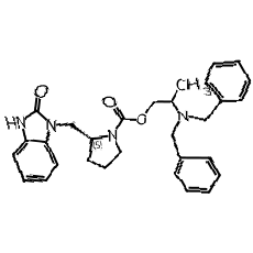 CC(COC(=O)N1CCC[C@H]1Cn1c(=O)[nH]c2ccccc21)N(Cc1ccccc1)Cc1ccccc1